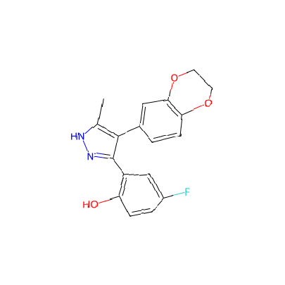 Cc1[nH]nc(-c2cc(F)ccc2O)c1-c1ccc2c(c1)OCCO2